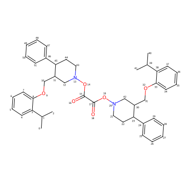 CC(C)c1ccccc1OCC1CN(OC(=O)C(=O)ON2CCC(c3ccccc3)C(COc3ccccc3C(C)C)C2)CCC1c1ccccc1